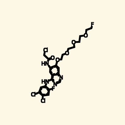 O=C(CCl)Nc1cc2c(Nc3cc(Cl)c(Cl)cc3F)ncnc2cc1OCCOCCOCCOCCF